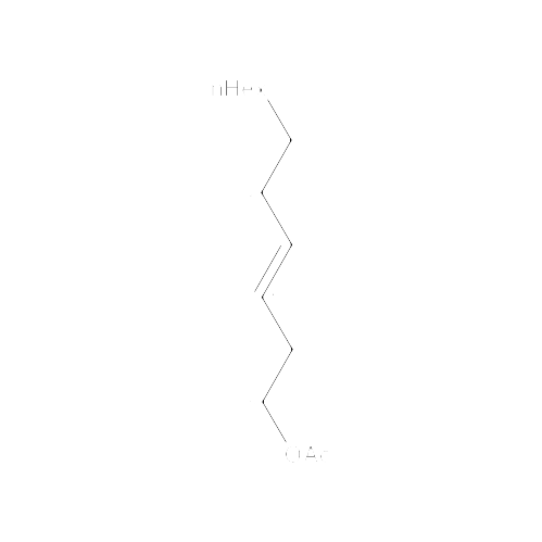 CCCCCCCCC=CCCOC(C)=O